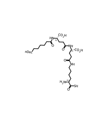 CCCCCCCCCCCCCCCC(=O)N[C@@H](CCC(=O)N[C@@H](CCC(=O)NCCCC[C@H](N)C(=O)S)C(=O)O)C(=O)O